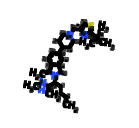 C=CCCC(C(=C)NC)N1Cc2cc(C3CCN(Cc4csc(C(C)(C)C)n4)CC3)ccc2C1=C